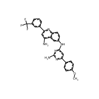 COc1ccc(-c2cc(Nc3ccc4nc(-c5cccc(C(F)(F)F)c5)cc(N)c4c3)nc(N)n2)cc1